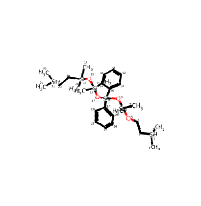 C[SiH](C)CCO[Si](C)(C)O[Si](O[Si](C)(C)O[Si](C)(C)CC[SiH](C)C)(c1ccccc1)c1ccccc1